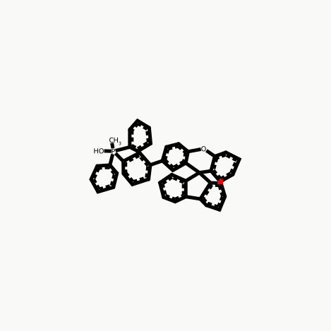 CP(O)(c1ccccc1)(c1ccccc1)c1cccc(-c2ccc3c(c2)C2(c4ccccc4O3)c3ccccc3-c3ccccc32)c1